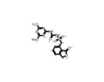 COc1nc(C)nc(NC(=O)NS(=O)(=O)Cc2cccc3c2C(=O)OC3)n1